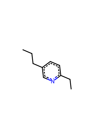 CCCc1ccc(CC)nc1